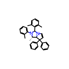 Cc1ccccc1N1C(c2c(C)cccc2C)N2C=CC(c3ccccc3)(c3ccccc3)C2[C@@H]1C